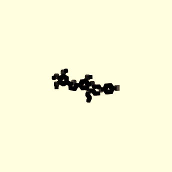 CCCN(CCC)c1cc(C2CCC(c3cc(OC)c(OC)c(OC)c3)O2)cc(OC)c1OCCSc1ccc(Cl)cc1